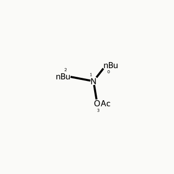 CCCCN(CCCC)OC(C)=O